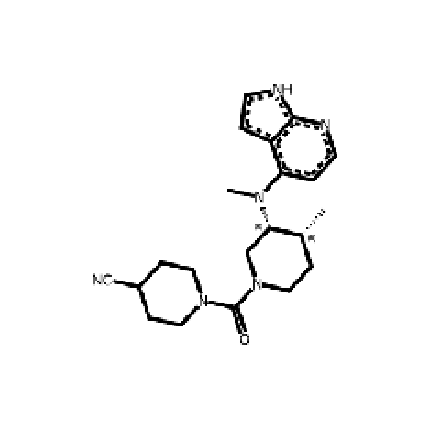 C[C@@H]1CCN(C(=O)N2CCC(C#N)CC2)C[C@@H]1N(C)c1ccnc2[nH]ccc12